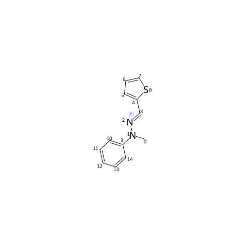 CN(/N=C/c1cccs1)c1ccccc1